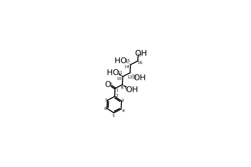 O=C(c1ccccc1)[C@H](O)[C@@H](O)[C@@H](O)[C@H](O)CO